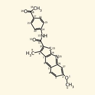 COc1ccc2cc3c(C)c(C(=O)Nc4ccc(C(C)=O)cc4)sc3nc2c1